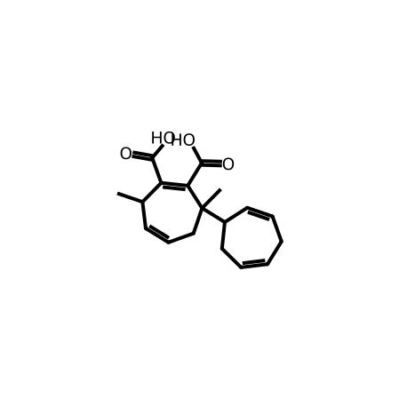 CC1C=CCC(C)(C2C=CCC=CC2)C(C(=O)O)=C1C(=O)O